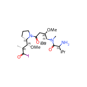 CC[C@H](C)[C@@H]([C@@H](CC(=O)N1CCC[C@H]1[C@H](OC)[C@@H](C)C(=O)I)OC)N(C)C(=O)[C@@H](N)C(C)C